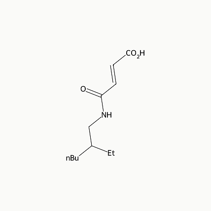 CCCCC(CC)CNC(=O)C=CC(=O)O